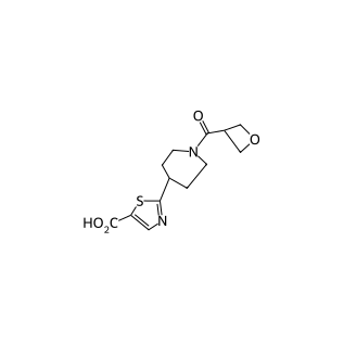 O=C(O)c1cnc(C2CCN(C(=O)C3COC3)CC2)s1